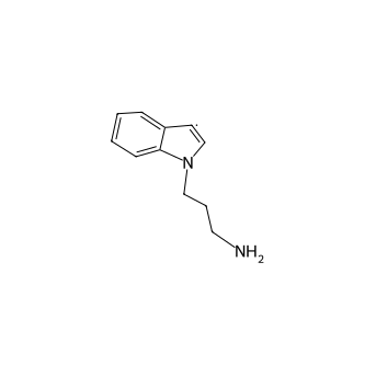 NCCCn1c[c]c2ccccc21